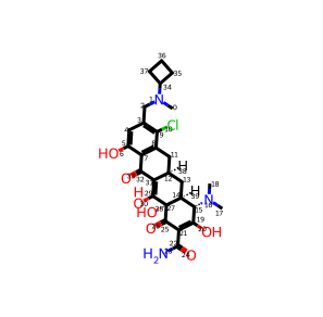 CN(Cc1cc(O)c2c(c1Cl)C[C@H]1C[C@H]3[C@H](N(C)C)C(O)=C(C(N)=O)C(=O)[C@@]3(O)C(O)=C1C2=O)C1CCC1